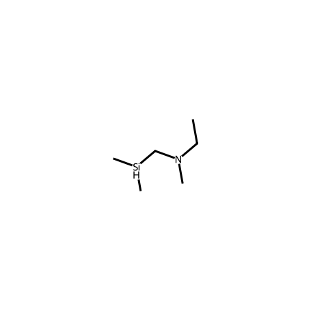 CCN(C)C[SiH](C)C